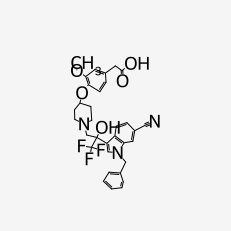 COc1cc(CC(=O)O)ccc1OC1CCN(CC(O)(c2cn(Cc3ccccc3)c3cc(C#N)ccc23)C(F)(F)F)CC1